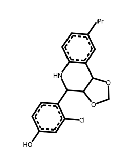 CC(C)c1ccc2c(c1)C1OCOC1C(c1ccc(O)cc1Cl)N2